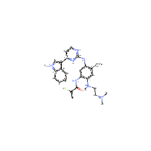 C=C(F)C(=O)Nc1cc(Nc2nccc(-c3cn(C)c4ccccc34)n2)c(OC)cc1N(C)CCN(C)C